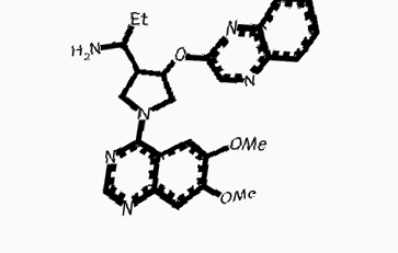 CCC(N)C1CN(c2ncnc3cc(OC)c(OC)cc23)CC1Oc1cnc2ccccc2n1